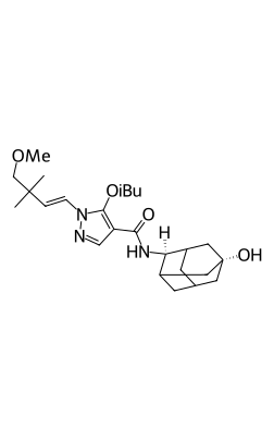 COCC(C)(C)/C=C/n1ncc(C(=O)N[C@H]2C3CC4CC2C[C@](O)(C4)C3)c1OCC(C)C